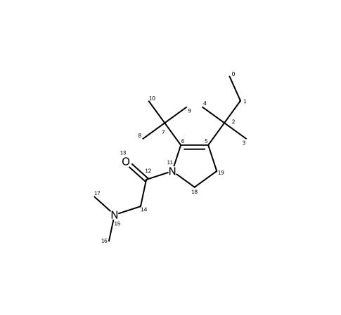 CCC(C)(C)C1=C(C(C)(C)C)N(C(=O)CN(C)C)CC1